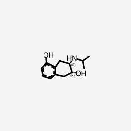 CC(C)N[C@@H]1Cc2c(O)cccc2C[C@H]1O